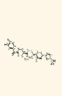 CCNc1nnc(-c2ccc(N3CCN(C4CCN(C(=O)c5ccc(F)c(F)c5)CC4)[C@@H](CC)C3)c(C)n2)o1